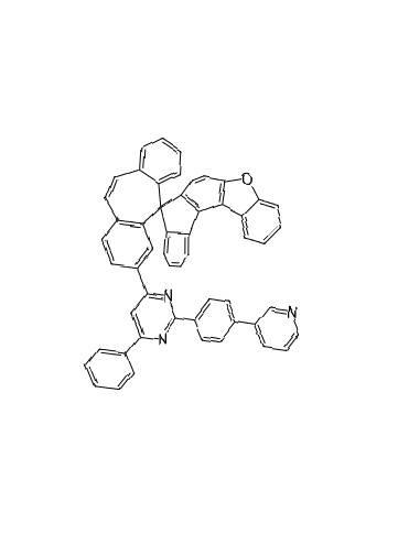 C1=Cc2ccc(-c3cc(-c4ccccc4)nc(-c4ccc(-c5cccnc5)cc4)n3)cc2C2(c3ccccc31)c1ccccc1-c1c2ccc2oc3ccccc3c12